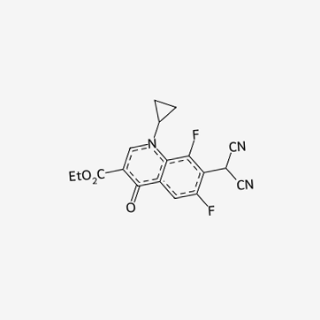 CCOC(=O)c1cn(C2CC2)c2c(F)c(C(C#N)C#N)c(F)cc2c1=O